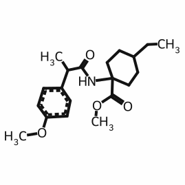 CCC1CCC(NC(=O)C(C)c2ccc(OC)cc2)(C(=O)OC)CC1